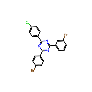 Clc1ccc(-c2nc(-c3ccc(Br)cc3)nc(-c3cccc(Br)c3)n2)cc1